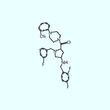 N#Cc1ccccc1N1CCN(C(=O)C2CC(NCc3ccc(F)cc3F)CN2Cc2cccc(F)c2)CC1